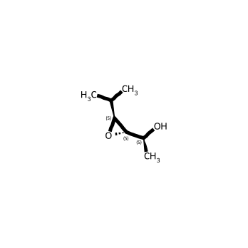 CC(C)[C@@H]1O[C@H]1[C@H](C)O